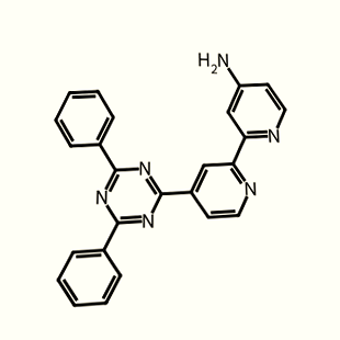 Nc1ccnc(-c2cc(-c3nc(-c4ccccc4)nc(-c4ccccc4)n3)ccn2)c1